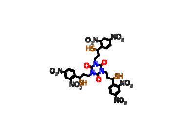 O=c1n(CCC(S)c2ccc([N+](=O)[O-])cc2[N+](=O)[O-])c(=O)n(CCC(S)c2ccc([N+](=O)[O-])cc2[N+](=O)[O-])c(=O)n1CCC(S)c1ccc([N+](=O)[O-])cc1[N+](=O)[O-]